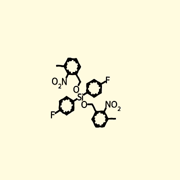 Cc1cccc(CO[Si](OCc2cccc(C)c2[N+](=O)[O-])(c2ccc(F)cc2)c2ccc(F)cc2)c1[N+](=O)[O-]